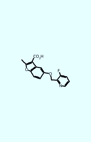 Cc1oc2ccc(OCc3ncccc3F)cc2c1C(=O)O